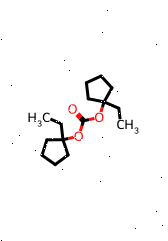 CCC1(OC(=O)OC2(CC)CCCC2)CCCC1